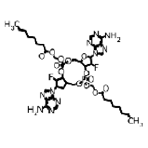 CCCCCCCC(=O)OCOP1(=O)OCC2OC(n3cnc4c(N)ncnc43)C(F)C2OP(=O)(OCOC(=O)CCCCCCC)OCC2CC(n3cnc4c(N)ncnc43)C(F)C2O1